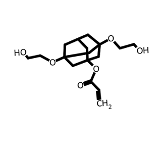 C=CC(=O)OC12CC3CC(OCCO)(CC(OCCO)(C3)C1)C2